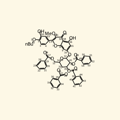 CCCCOc1ccc(-c2oc3cc(O[C@@H]4OC(COC(=O)c5ccccc5)[C@@H](OC(=O)c5ccccc5)C(OC(=O)c5ccccc5)[C@@H]4OC(=O)c4ccccc4)cc(O)c3c(=O)c2OC)cc1O